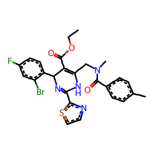 CCOC(=O)C1=C(CN(C)C(=O)c2ccc(C)cc2)NC(c2nccs2)=NC1c1ccc(F)cc1Br